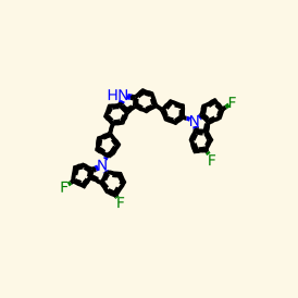 Fc1ccc2c(c1)c1cc(F)ccc1n2-c1ccc(-c2ccc3[nH]c4ccc(-c5ccc(-n6c7ccc(F)cc7c7cc(F)ccc76)cc5)cc4c3c2)cc1